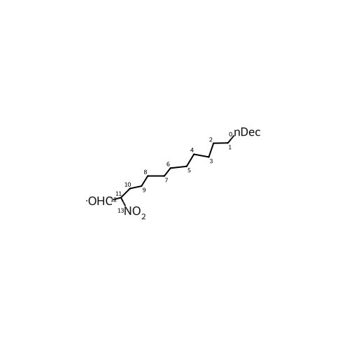 CCCCCCCCCCCCCCCCCCCCC([C]=O)[N+](=O)[O-]